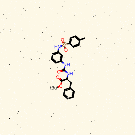 Cc1ccc(S(=O)(=O)Nc2cccc(NC(=O)N[C@@H](Cc3ccccc3)C(=O)OC(C)(C)C)c2)cc1